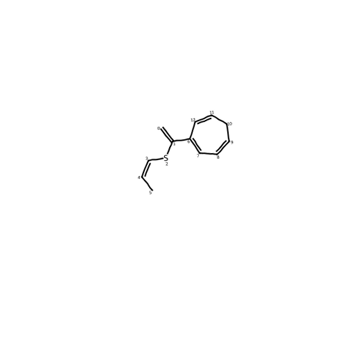 C=C(S/C=C\C)C1=CC=CCC=C1